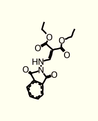 CCOC(=O)C(=CNN1C(=O)c2ccccc2C1=O)C(=O)OCC